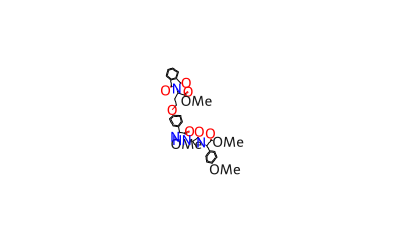 CO/N=C(\C(=O)NC1CN(C(C(=O)OC)c2ccc(OC)cc2)C1=O)c1ccc(OCCC(C(=O)OC)N2C(=O)c3ccccc3C2=O)cc1